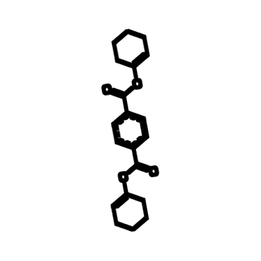 O=C(OC1=CCCCC1)c1ccc(C(=O)OC2=CCCCC2)cc1